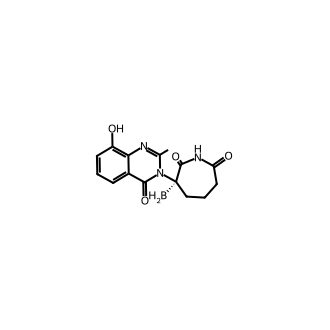 B[C@@]1(n2c(C)nc3c(O)cccc3c2=O)CCCC(=O)NC1=O